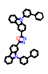 C1=CC(c2cccc(-n3c4ccccc4c4cc(-c5nnc(-c6ccc7c8ccccc8n(-c8cccc(-c9ccccc9)c8)c7c6)o5)ccc43)c2)=CCC1